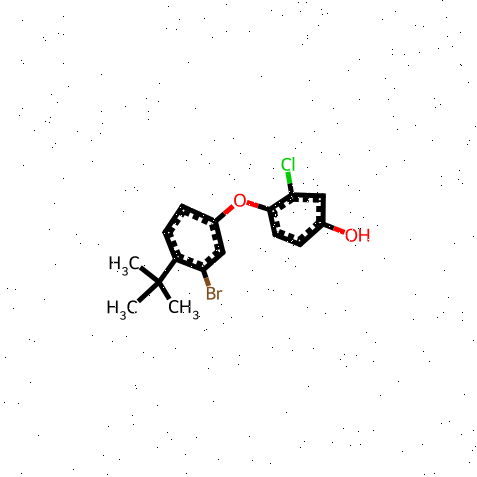 CC(C)(C)c1ccc(Oc2ccc(O)cc2Cl)cc1Br